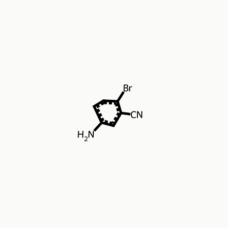 N#Cc1cc(N)ccc1Br